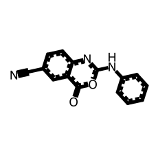 N#Cc1ccc2nc(Nc3ccccc3)oc(=O)c2c1